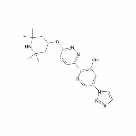 CC1(C)CC(Oc2ccc(-c3ncc(-n4ccnn4)cc3O)nn2)CC(C)(C)N1